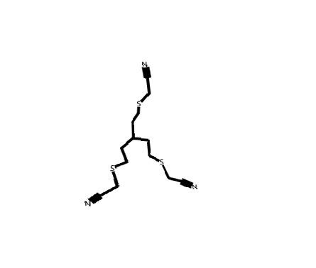 N#CCSCCC(CCSCC#N)CCSCC#N